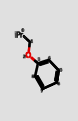 CC(C)COc1c[c]ccc1